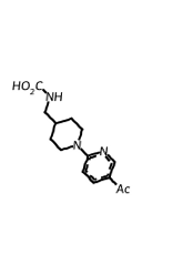 CC(=O)c1ccc(N2CCC(CNC(=O)O)CC2)nc1